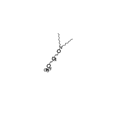 CCCCCCCCCN(CCCCCCCCC)c1ccc(C=Cc2ccc(C=Cc3ccc([N+](=O)[O-])c(F)c3)nc2)cc1